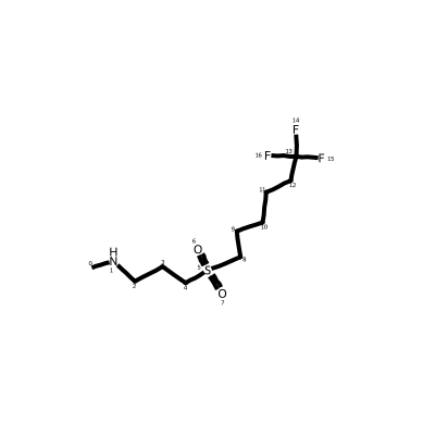 CNCCCS(=O)(=O)CCCCCC(F)(F)F